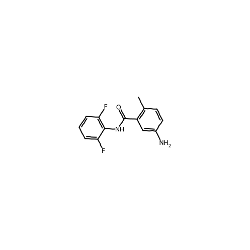 Cc1ccc(N)cc1C(=O)Nc1c(F)cccc1F